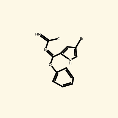 N=C(Cl)/N=C(/Oc1ccccc1)c1cc(Br)c[nH]1